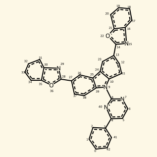 c1ccc(-c2ccnc(-n3c4ccc(-c5nc6ccccc6o5)cc4c4cc(-c5nc6ccccc6o5)ccc43)n2)cc1